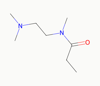 CCC(=O)N(C)CCN(C)C